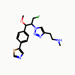 CNCCc1cn(C(CF)C(OC)c2ccc(-c3cncs3)cc2)nn1